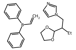 C=CB(c1ccccc1)c1ccccc1.CCC(Cn1ccnc1)C1OCCO1